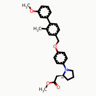 COC(=O)C[C@@H]1CCCN1c1ccc(OCc2ccc(-c3cccc(OC)c3)c(C)c2)cc1